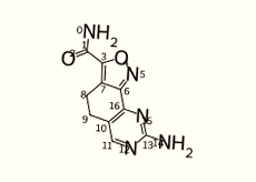 NC(=O)c1onc2c1CCc1cnc(N)nc1-2